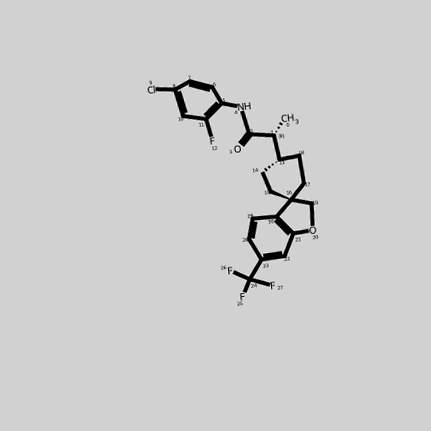 C[C@@H](C(=O)Nc1ccc(Cl)cc1F)[C@H]1CC[C@@]2(CC1)COc1cc(C(F)(F)F)ccc12